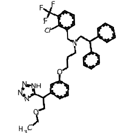 CCOCC(c1cccc(OCCCN(Cc2cccc(C(F)(F)F)c2Cl)CC(c2ccccc2)c2ccccc2)c1)c1nnn[nH]1